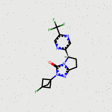 O=c1n(C23CC(F)(C2)C3)nc2n1[C@@H](c1cnc(C(F)(F)F)cn1)CC2